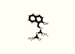 CC(OC(N)=O)SCc1c(O)ccc2ccccc12